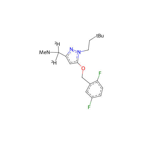 [2H]C([2H])(NC)c1cc(OCc2cc(F)ccc2F)n(CCC(C)(C)C)n1